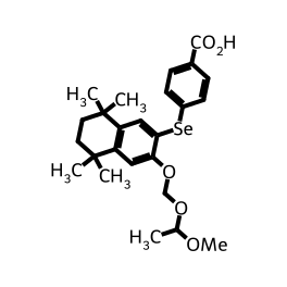 COC(C)OCOc1cc2c(cc1[Se]c1ccc(C(=O)O)cc1)C(C)(C)CCC2(C)C